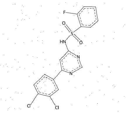 O=S(=O)(Nc1cc(-c2ccc(Cl)c(Cl)c2)ncn1)c1ccccc1F